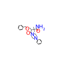 CC(C)(C(N)=O)C(COCc1ccccc1)C(=O)N1CCN(c2ccccc2)CC1